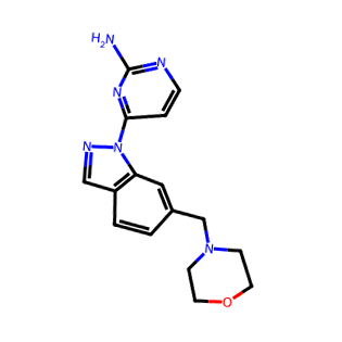 Nc1nccc(-n2ncc3ccc(CN4CCOCC4)cc32)n1